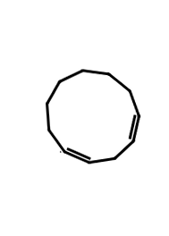 [C]1=CCC=CCCCCCC1